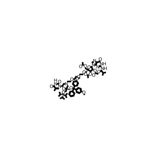 COc1ccc(C(OC[C@]2(CO[Si](C(C)C)(C(C)C)C(C)C)CN(CCOCCOCCOC[C@]3(COC(C)=O)O[C@@H](n4cnc5c(=O)[nH]c(NC(=O)C(C)C)nc54)[C@H](OC(C)=O)[C@@H]3OC(C)=O)C[C@H](n3cc(C)c(=O)[nH]c3=O)O2)(c2ccccc2)c2ccc(OC)cc2)cc1